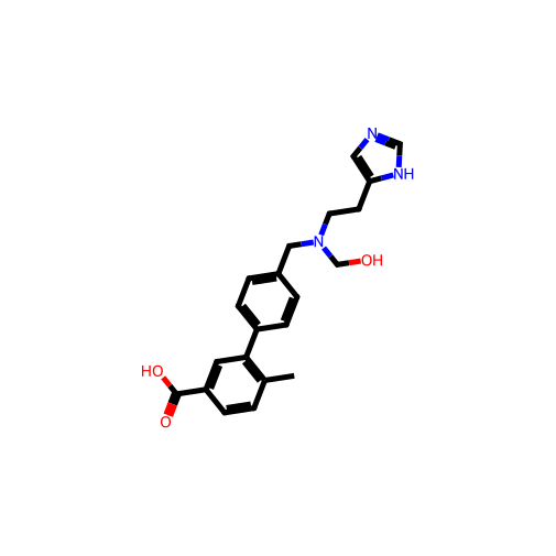 Cc1ccc(C(=O)O)cc1-c1ccc(CN(CO)CCc2cnc[nH]2)cc1